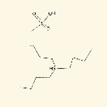 CCCC[SiH](CCCC)CCCC.CS(=O)(=O)O